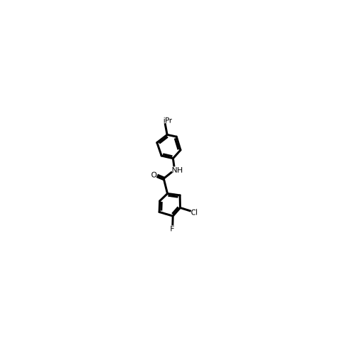 CC(C)c1ccc(NC(=O)c2ccc(F)c(Cl)c2)cc1